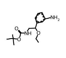 CCOC(CNC(=O)OC(C)(C)C)c1cccc(N)c1